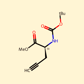 C#CC[C@H](NC(=O)OC(C)(C)C)C(=O)OC